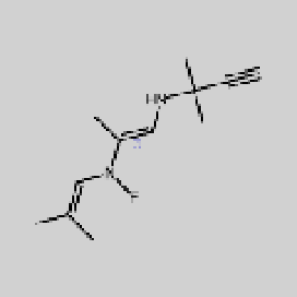 C#CC(C)(C)N/C=C(\C)N(F)C=C(C)C